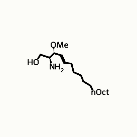 CCCCCCCCCCCCC/C=C/[C@@H](OC)[C@@H](N)CO